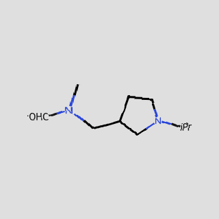 CC(C)N1CCC(CN(C)[C]=O)C1